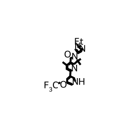 CCn1cc(N2C(=O)c3c(C)cc(C4=CC(OCC(F)(F)F)=CNC4)nc3C2(C)C)cn1